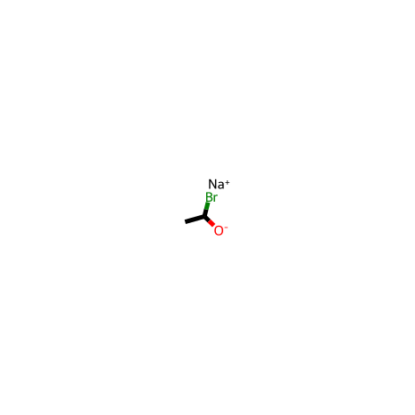 CC([O-])Br.[Na+]